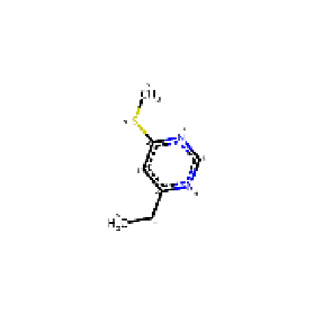 CCc1cc(SC)ncn1